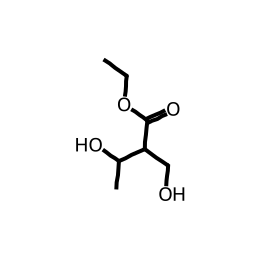 CCOC(=O)C(CO)C(C)O